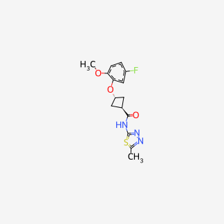 COc1ccc(F)cc1O[C@H]1C[C@H](C(=O)Nc2nnc(C)s2)C1